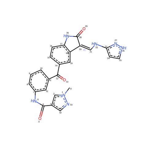 Cn1cc(C(=O)Nc2cccc(C(=O)c3ccc4c(c3)/C(=C/Nc3cc[nH]n3)C(=O)N4)c2)cn1